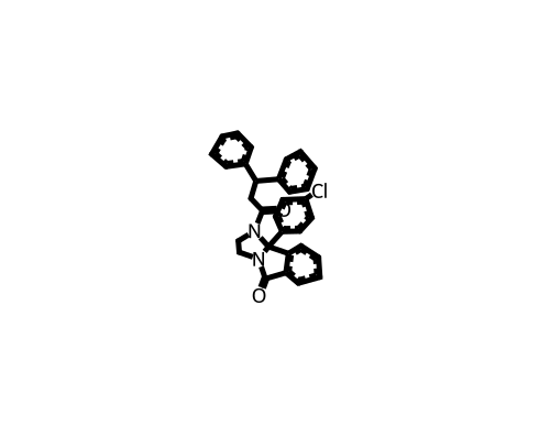 O=C(CC(c1ccccc1)c1ccccc1)N1CCN2C(=O)c3ccccc3C12c1ccc(Cl)cc1